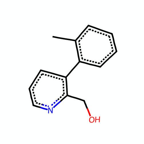 Cc1ccccc1-c1cccnc1CO